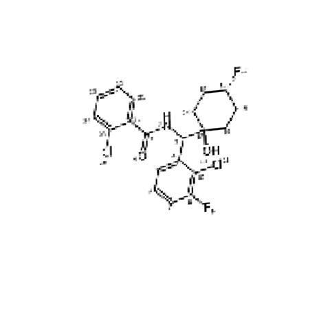 O=C(NC(c1cccc(F)c1Cl)[C@]1(O)CC[C@H](F)CC1)c1ccccc1Cl